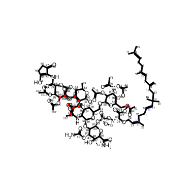 C=C(C/C=C(\C)CCC=C(C)C)CCC(C)(C)/C=C/CC/C(C)=C\CO[C@H](COP(=O)(OC)O[C@H]1OC(C(N)=O)[C@@](C)(O)[C@H](OC(N)=O)C1O[C@@H]1OC(CO[C@@H]2OC(COC(C)=O)[C@@H](OC(C)=O)[C@H](OC(C)=O)C2OC(C)=O)[C@@H](O[C@@H]2OC(C)[C@@H](O[C@@H]3OC(C(=O)NC4=C(O)CCC4=O)[C@H](OC(C)=O)C(OC(C)=O)[C@@H]3OC(C)=O)C(OC(C)=O)[C@@H]2NC(C)=O)[C@H](OC(C)=O)C1NC(C)=O)C(=O)OC